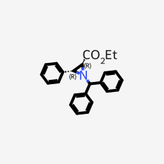 CCOC(=O)[C@H]1[C@@H](c2ccccc2)N1C(c1ccccc1)c1ccccc1